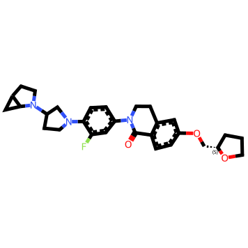 O=C1c2ccc(OC[C@@H]3CCCO3)cc2CCN1c1ccc(N2CCC(N3CCC4CC43)C2)c(F)c1